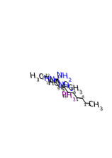 CC(=O)O.CCCCCCCCCCCC.N=C(N)N.P